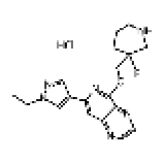 CCn1cc(-c2cc3nccnc3c(OCC3(F)CCCNC3)n2)cn1.Cl